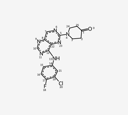 O=C1CCN(c2ncc3ncnc(Nc4ccc(F)c(Cl)c4)c3n2)CC1